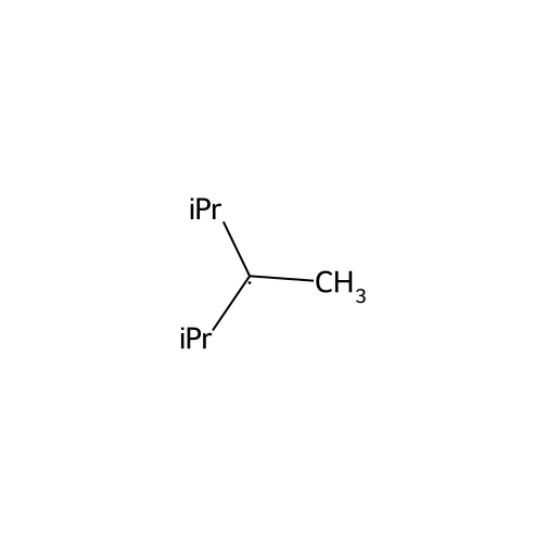 C[C](C(C)C)C(C)C